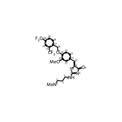 CNCCCNC1=NC(=O)C(=Cc2ccc(OCc3ccc(C(F)(F)F)cc3C(F)(F)F)c(OC)c2)S1